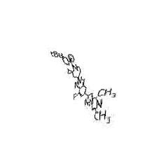 Cc1cn2nc(-c3cc(F)c4nn(C5CCN(C(=O)OC(C)(C)C)C6(CC6)C5)cc4c3)cc2c(C)n1